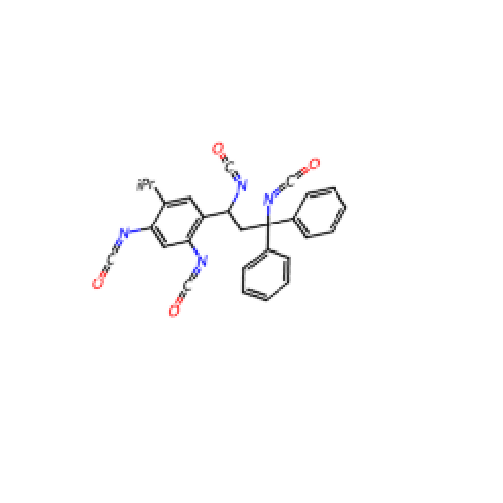 CC(C)c1cc(C(CC(N=C=O)(c2ccccc2)c2ccccc2)N=C=O)c(N=C=O)cc1N=C=O